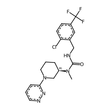 CN(C(=O)NCc1cc(C(F)(F)F)ccc1Cl)[C@@H]1CCCN(c2cccnn2)C1